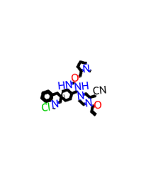 C=CC(=O)N1CCN(C2NC(OCC3CCCN3C)NC3C[C@]4(CCC32)Cc2cccc(Cl)c2N(C)C4)CC1CC#N